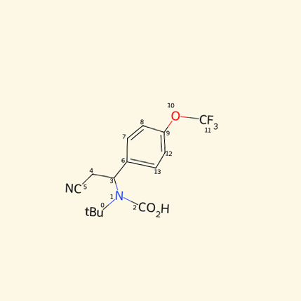 CC(C)(C)N(C(=O)O)C(CC#N)c1ccc(OC(F)(F)F)cc1